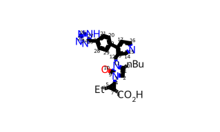 CCCCc1cn(C2C(CC)C2C(=O)O)c(=O)n1Cc1cnccc1-c1ccc(-c2nnn[nH]2)cc1